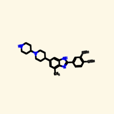 COc1ccc(-c2nc3c(C)cc(C4CCN(C5CCNCC5)CC4)cc3[nH]2)cc1OC